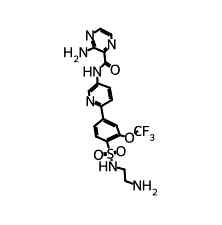 NCCNS(=O)(=O)c1ccc(-c2ccc(NC(=O)c3nccnc3N)cn2)cc1OC(F)(F)F